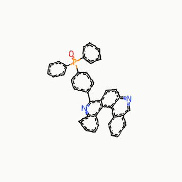 O=P(c1ccccc1)(c1ccccc1)c1ccc(-c2nc3ccccc3c3c2ccc2ncc4ccccc4c23)cc1